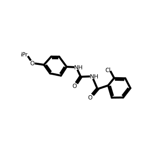 CC(C)Oc1ccc(NC(=O)NC(=O)c2ccccc2Cl)cc1